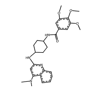 COc1cc(C(=O)NC2CCC(Nc3cc(N(C)C)c4ccccc4n3)CC2)cc(OC)c1OC